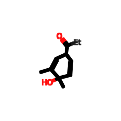 CCC(=O)C1C=CC(C)(O)C(C)=C1